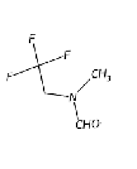 CN([C]=O)CC(F)(F)F